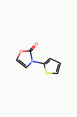 O=c1occn1-c1cccs1